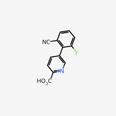 N#Cc1cccc(F)c1-c1ccc(C(=O)O)nc1